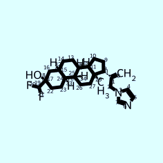 C=C(Cn1ccnc1)[C@H]1CC[C@H]2[C@@H]3CC[C@H]4C[C@@](O)(C(F)F)CC[C@@H]4[C@H]3CC[C@]12C